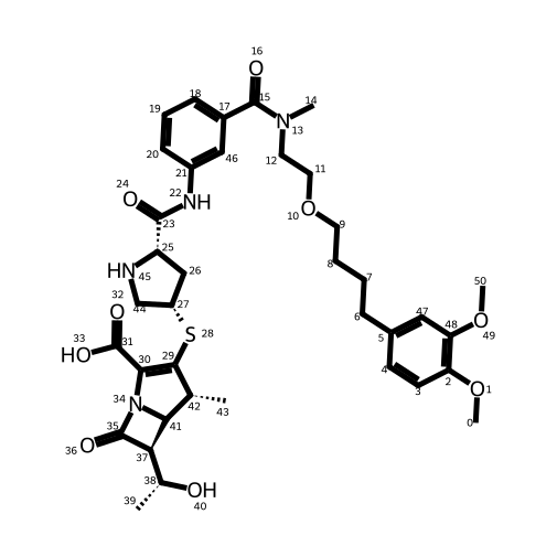 COc1ccc(CCCCOCCN(C)C(=O)c2cccc(NC(=O)[C@@H]3C[C@H](SC4=C(C(=O)O)N5C(=O)[C@H]([C@@H](C)O)C5[C@H]4C)CN3)c2)cc1OC